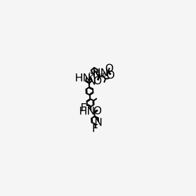 COC(=O)N[C@H](C(=O)N1CCC[C@H]1c1nc(-c2ccc(-c3cc(F)c(NC(=O)c4ccc(F)nc4)cc3C)cc2)c[nH]1)C(C)C